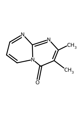 Cc1nc2ncccn2c(=O)c1C